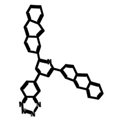 c1ccc2cc3cc(-c4cc(-c5ccc6nnnnc6c5)cc(-c5ccc6cc7ccccc7cc6c5)n4)ccc3cc2c1